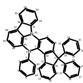 c1ccc(N2c3c(ccc4c3-c3ccccc3C4(c3ccccc3)c3ccccc3)-n3c4ccccc4c4cccc2c43)cc1